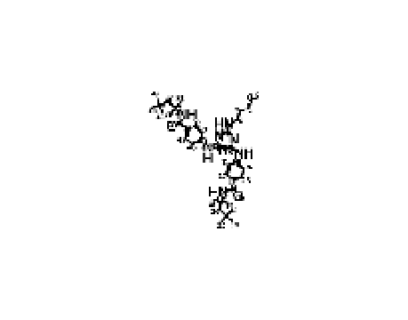 CSCCCNc1nc(Nc2ccc(C(=O)NC(C)(C)CC(C)(C)C)cc2)nc(Nc2ccc(C(=O)NC(C)(C)CC(C)(C)C)cc2)n1